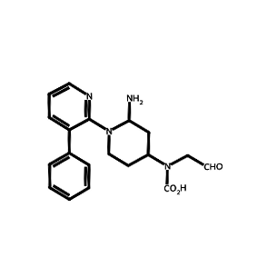 NC1CC(N(CC=O)C(=O)O)CCN1c1ncccc1-c1ccccc1